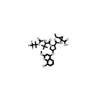 CCC1CC1(NC(=O)C1CC(Oc2cc(OC)nc3c(Cl)cccc23)CN1C(=O)C(NC(=O)OC(C)(C)C(F)(F)F)C(C)(C)C)C(=O)O